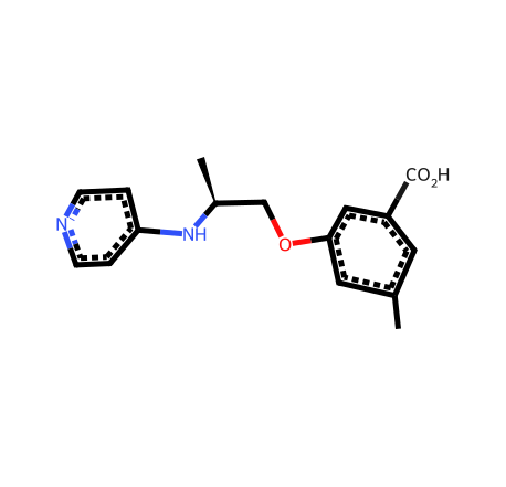 Cc1cc(OC[C@H](C)Nc2ccncc2)cc(C(=O)O)c1